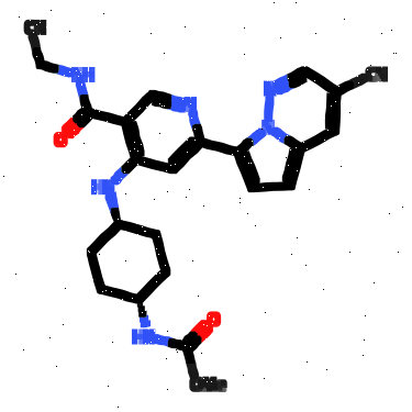 COC(=O)N[C@H]1CC[C@H](Nc2cc(-c3ccc4cc(C#N)cnn34)ncc2C(=O)NCC#N)CC1